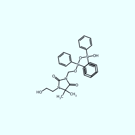 CC1(C)C(=O)N(CO[Si](O[Si](O)(c2ccccc2)c2ccccc2)(c2ccccc2)c2ccccc2)C(=O)N1CCO